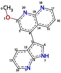 COc1cc(-c2c[nH]c3ncccc23)c2cccnc2n1